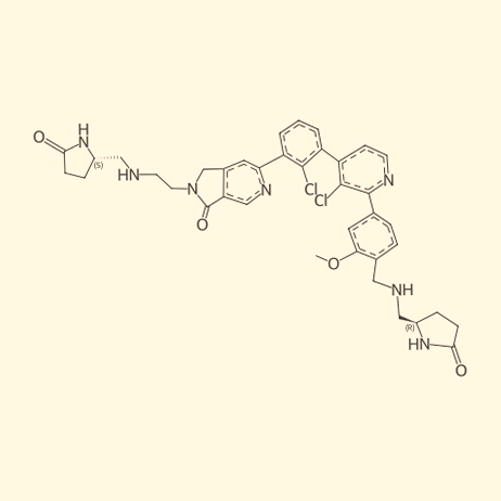 COc1cc(-c2nccc(-c3cccc(-c4cc5c(cn4)C(=O)N(CCNC[C@@H]4CCC(=O)N4)C5)c3Cl)c2Cl)ccc1CNC[C@H]1CCC(=O)N1